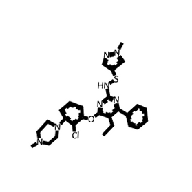 CCc1c(Oc2cccc(N3CCN(C)CC3)c2Cl)nc(NSc2cnn(C)c2)nc1-c1ccccc1